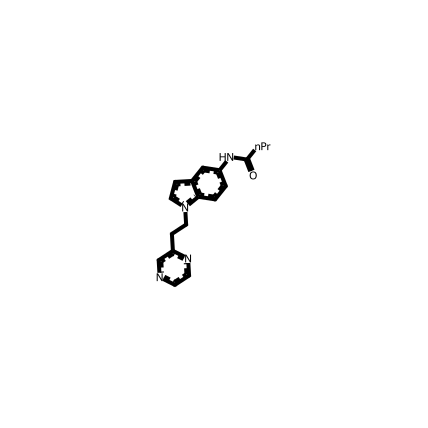 CCCC(=O)Nc1ccc2c(ccn2CCc2cnccn2)c1